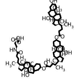 C[C@H](CCC(=O)O[C@H]1CC[C@@]2(C)C(C1)C[C@H](O)C1[C@H]3CC[C@H]([C@H](C)CCC(=O)O[C@H]4CC[C@@]5(C)C(C4)C[C@H](O)C4[C@H]6CC[C@H]([C@H](C)CCC(=O)NCCS(=O)(=O)O)[C@@]6(C)CC[C@H]45)[C@@]3(C)CC[C@H]12)[C@H]1CC[C@@H]2C3[C@@H](CC[C@@]21C)[C@@]1(C)CC[C@H](O)CC1C[C@@H]3O